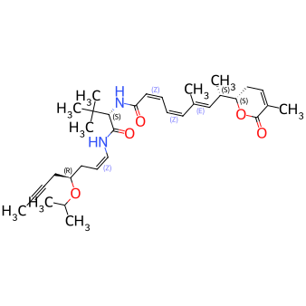 CC#CC[C@@H](C/C=C\NC(=O)[C@@H](NC(=O)\C=C/C=C\C(C)=C\[C@H](C)[C@@H]1CC=C(C)C(=O)O1)C(C)(C)C)OC(C)C